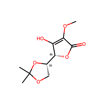 COC1=C(O)[C@@H]([C@@H]2COC(C)(C)O2)OC1=O